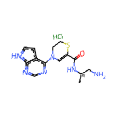 C[C@H](CN)NC(=O)C1=CN(c2ncnc3[nH]ccc23)CCS1.Cl